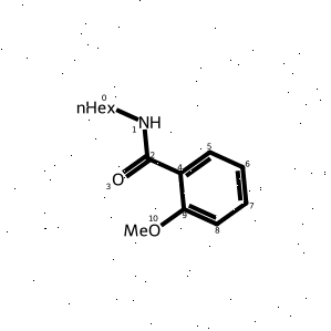 [CH2]CCCCCNC(=O)c1ccccc1OC